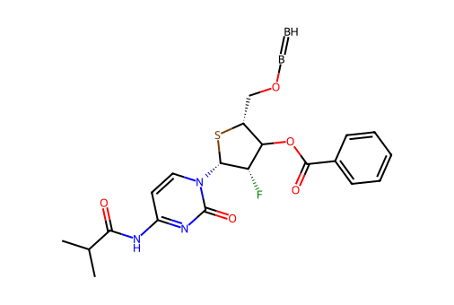 B=BOC[C@H]1S[C@@H](n2ccc(NC(=O)C(C)C)nc2=O)[C@@H](F)C1OC(=O)c1ccccc1